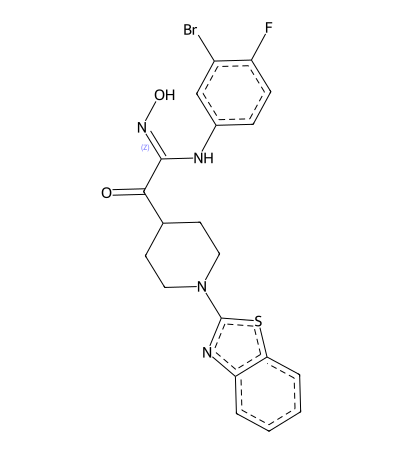 O=C(/C(=N/O)Nc1ccc(F)c(Br)c1)C1CCN(c2nc3ccccc3s2)CC1